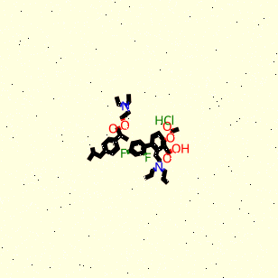 CCCN(CCC)CCc1c(-c2ccc(F)cc2F)ccc(OC(C)=O)c1C(=O)O.CCN(CC)CCOC(=O)C(C)c1ccc(CC(C)C)cc1.Cl